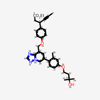 CC#CC(CC(=O)OCC)c1ccc(OCc2cc(-c3ccc(OCCC(C)(C)O)cc3C)cn3ncnc23)cc1